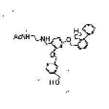 CC(=O)NCCNCc1ccc(OCc2cccc(-c3ccccc3)c2C)cc1OCc1cccc(CO)c1